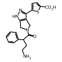 NCCC(C(=O)N1Cc2[nH]nc(-c3ccc(C(=O)O)s3)c2C1)c1ccccc1